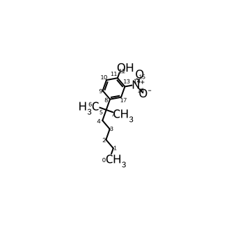 CCCCCC(C)(C)c1ccc(O)c([N+](=O)[O-])c1